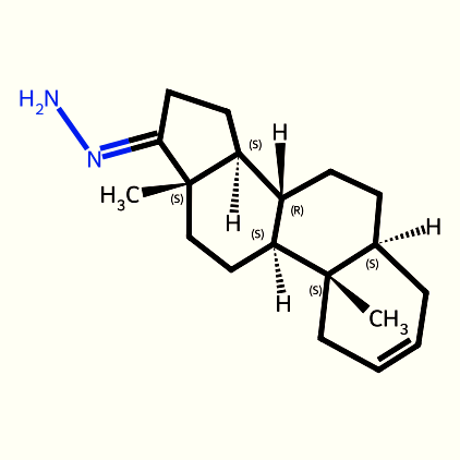 C[C@]12CC=CC[C@@H]1CC[C@@H]1[C@@H]2CC[C@]2(C)C(=NN)CC[C@@H]12